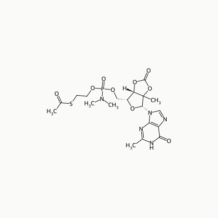 CC(=O)SCCOP(=O)(OC[C@H]1O[C@@H](n2cnc3c(=O)[nH]c(C)nc32)C2(C)OC(=O)O[C@@H]12)N(C)C